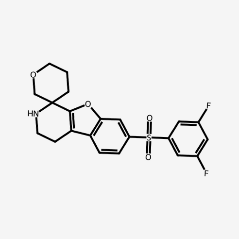 O=S(=O)(c1cc(F)cc(F)c1)c1ccc2c3c(oc2c1)C1(CCCOC1)NCC3